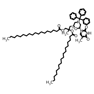 [CH2]C(COC(=O)CCCCCCCCCCCCCCCCC)(C[C@H]1CN(C(c2ccccc2)(c2ccccc2)c2ccccc2)C[C@H](n2cc(C)c(=O)[nH]c2=O)O1)OC(=O)CCCCCCCCCCCCCCCCC